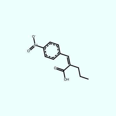 CCCC(=Cc1ccc([N+](=O)[O-])cc1)C(=O)O